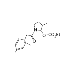 CCOC(=O)OC1C(C)CCN1C(=O)Cc1ccc(C)cc1C